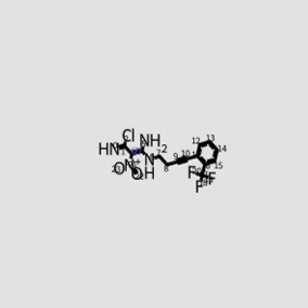 N=C(Cl)/C(=C(\N)NCCC#Cc1ccccc1C(F)(F)F)[N+](=O)[O-]